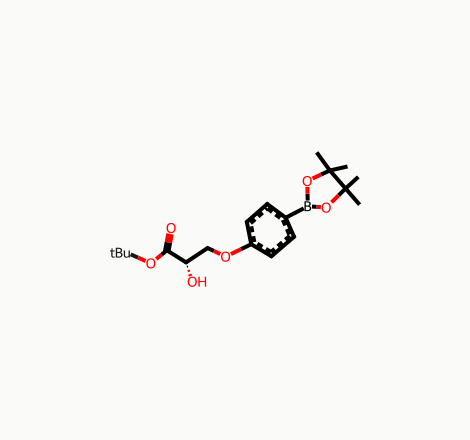 CC(C)(C)OC(=O)[C@@H](O)COc1ccc(B2OC(C)(C)C(C)(C)O2)cc1